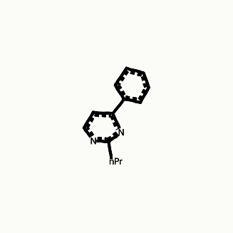 CCCc1nccc(-c2ccccc2)n1